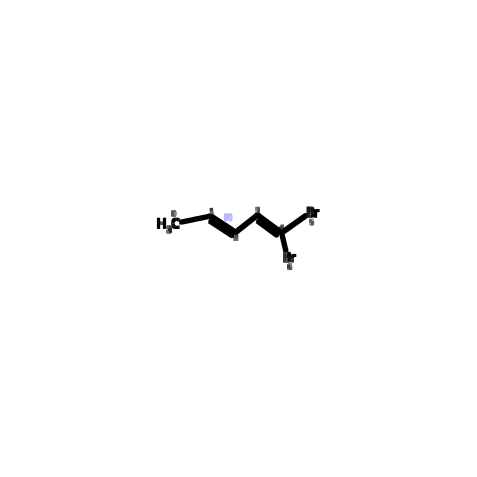 C/C=C/C=C(Br)Br